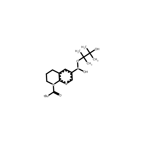 CC(C)(C)C(=O)N1CCCc2cc(B(O)OC(C)(C)C(C)(C)O)cnc21